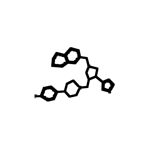 Fc1ccc(C2CCN(CC3CN(Cc4ccc5ccccc5c4)CC3c3ccsc3)CC2)cc1